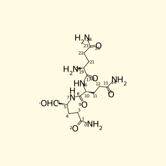 NC(=O)CC[C@@H]([C]=O)NC(=O)[C@H](CCC(N)=O)NC(=O)[C@@H](N)CCC(N)=O